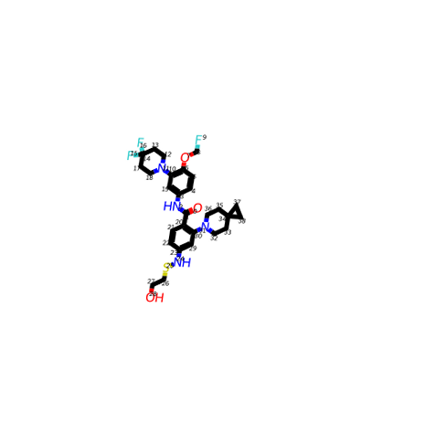 O=C(Nc1ccc(OCF)c(N2CCC(F)(F)CC2)c1)c1ccc(NSCCO)cc1N1CCC2(CC1)CC2